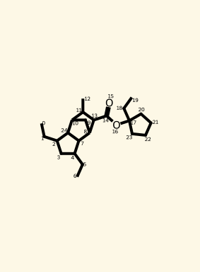 CCC1CC(CC)C2C3CC(C(C)C3C(=O)OC3(CC)CCCC3)C12